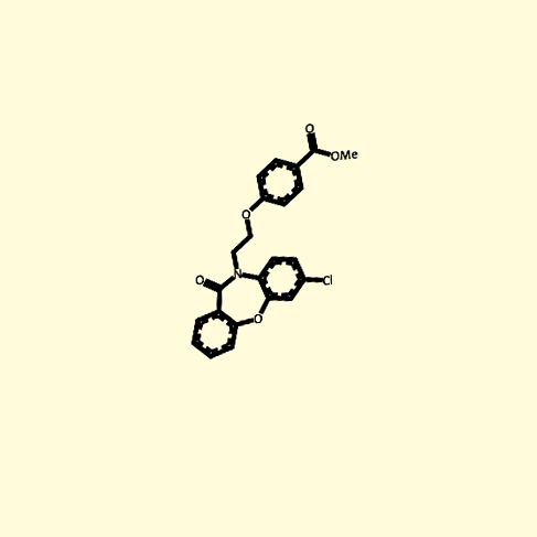 COC(=O)c1ccc(OCCN2C(=O)c3ccccc3Oc3cc(Cl)ccc32)cc1